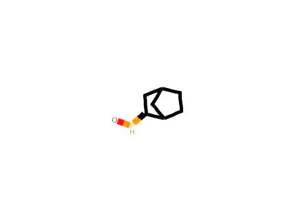 O=[PH]=C1CC2CCC1C2